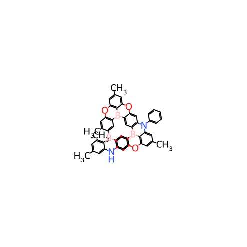 Cc1cc(C)c2c(c1)Nc1ccccc1B2c1cc2c(cc1C)Oc1cc(C)cc3c1B2c1cc2c(cc1O3)N(c1ccccc1)c1cc(C)cc3c1B2c1ccccc1O3